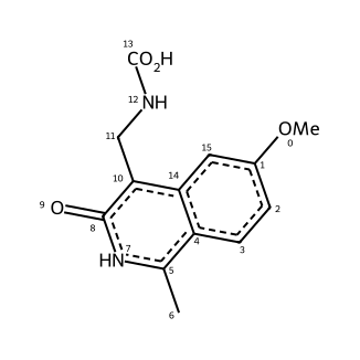 COc1ccc2c(C)[nH]c(=O)c(CNC(=O)O)c2c1